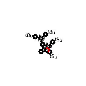 CC(C)(C)c1ccc(-c2nc(-c3ccc(C(C)(C)C)cc3)nc(-c3ccc(-n4c5ccccc5c5ccccc54)c(-c4nc(-c5ccc(C(C)(C)C)cc5)nc(-c5ccc(C(C)(C)C)cc5)n4)c3)n2)cc1